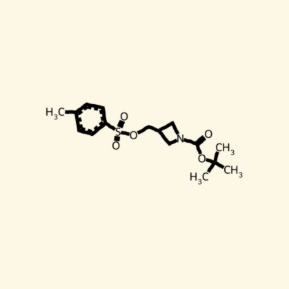 Cc1ccc(S(=O)(=O)OCC2CN(C(=O)OC(C)(C)C)C2)cc1